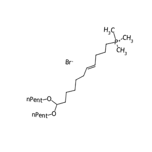 CCCCCOC(CCCCC/C=C/CCC[P+](C)(C)C)OCCCCC.[Br-]